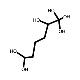 OC(O)CCCC(O)C(O)(O)O